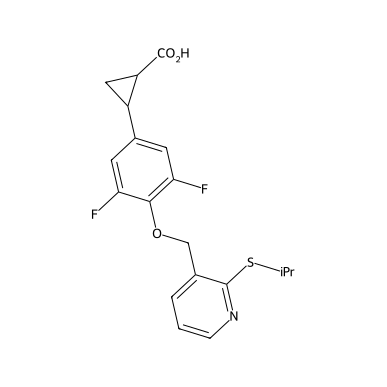 CC(C)Sc1ncccc1COc1c(F)cc(C2CC2C(=O)O)cc1F